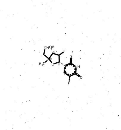 C[C@]1(CO)O[C@@H](n2cc(F)c(=O)[nH]c2=S)C(F)[C@H]1O